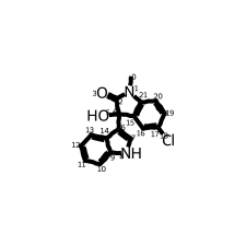 CN1C(=O)C(O)(c2c[nH]c3ccccc23)c2cc(Cl)ccc21